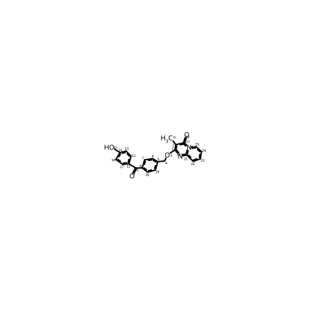 Cc1c(OCc2ccc(C(=O)c3ccc(O)cc3)cc2)nc2ccccn2c1=O